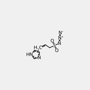 C=CCS(=O)(=O)N=[N+]=[N-].c1c[nH]cn1